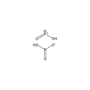 O=[N+]([O-])O.O=[PH2]O